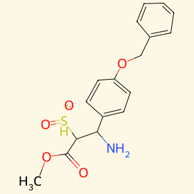 COC(=O)C(C(N)c1ccc(OCc2ccccc2)cc1)[SH](=O)=O